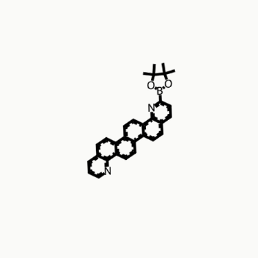 CC1(C)OB(c2ccc3ccc4c5ccc6c(ccc7cccnc76)c5ccc4c3n2)OC1(C)C